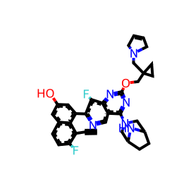 C#Cc1c(F)ccc2cc(O)cc(-c3ncc4c(N5CC6CCC(C5)N6)nc(OCC5(CN6CC=CC6)CC5)nc4c3F)c12